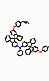 C=Cc1ccc(Oc2ccc(C3(c4ccccc4F)c4ccccc4-c4ccc(N(c5ccccc5)c5ccc6c(c5)C(c5ccc(Oc7ccc(C=C)cc7)cc5)(c5ccccc5F)c5ccccc5-6)cc43)cc2)cc1